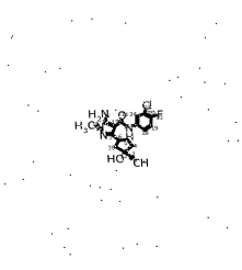 C#CC1(O)CCC(c2nn(C)c(N)c2C(=O)Nc2ccc(F)c(Cl)c2)C1